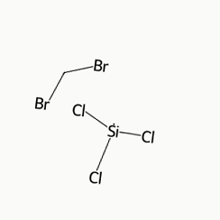 BrCBr.Cl[Si](Cl)Cl